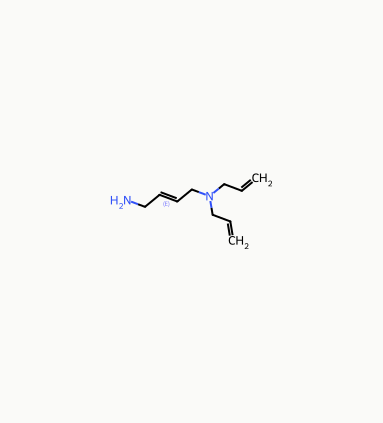 C=CCN(CC=C)C/C=C/CN